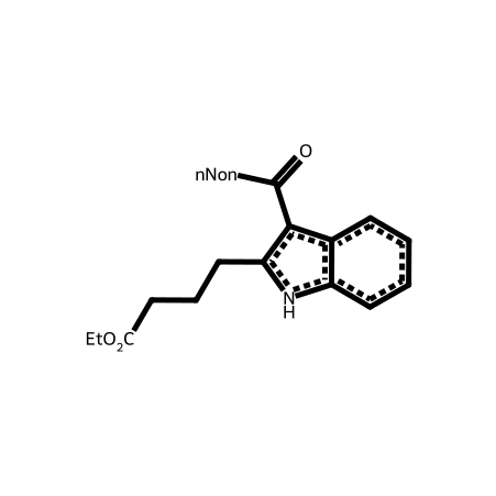 CCCCCCCCCC(=O)c1c(CCCC(=O)OCC)[nH]c2ccccc12